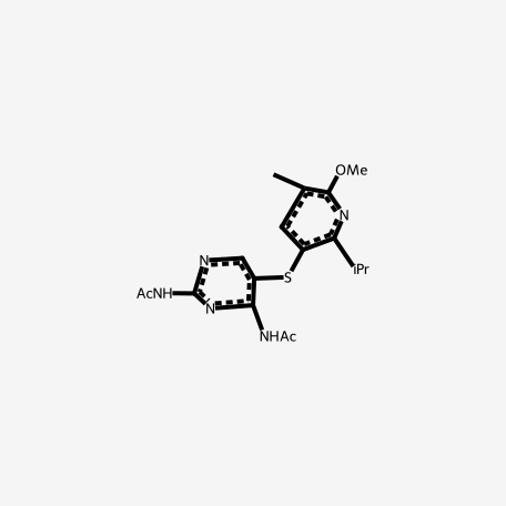 COc1nc(C(C)C)c(Sc2cnc(NC(C)=O)nc2NC(C)=O)cc1C